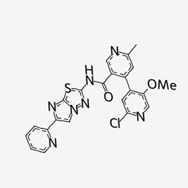 COc1cnc(Cl)cc1-c1cc(C)ncc1C(=O)Nc1nn2cc(-c3ccccn3)nc2s1